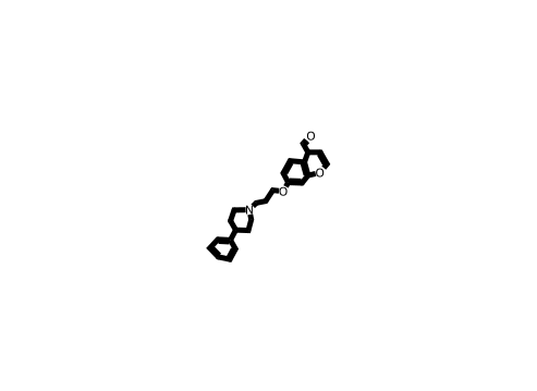 O=CC1C=COc2cc(OCCCN3CCC(c4ccccc4)CC3)ccc21